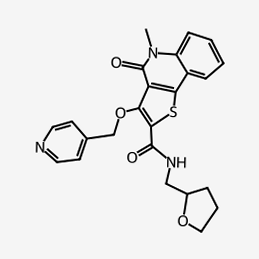 Cn1c(=O)c2c(OCc3ccncc3)c(C(=O)NCC3CCCO3)sc2c2ccccc21